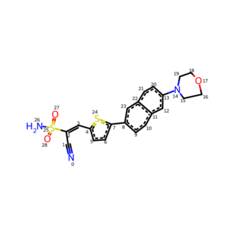 N#C/C(=C\c1ccc(-c2ccc3cc(N4CCOCC4)ccc3c2)s1)S(N)(=O)=O